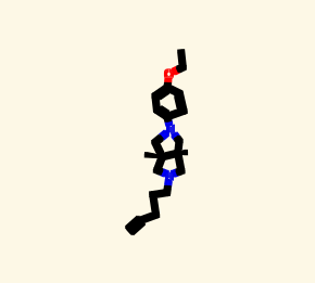 C#CCCCN1C[C@@]2(C)CN(c3ccc(OCC)cc3)C[C@@]2(C)C1